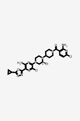 CC[C@H]1CN(c2nc(N)c(-c3nnc(C4CC4)o3)nc2Cl)CCN1C1CCN(C(=O)c2ccc(Cl)nc2N)CC1